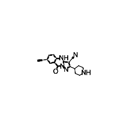 C#Cc1ccc2[nH]c3c(C#N)c(C4CCNCC4)nn3c(=O)c2c1